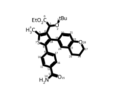 CCOC(=O)C(OC(C)(C)C)c1c(C)sc(-c2ccc(C(N)=O)cc2)c1-c1ccc2c(c1)CCCO2